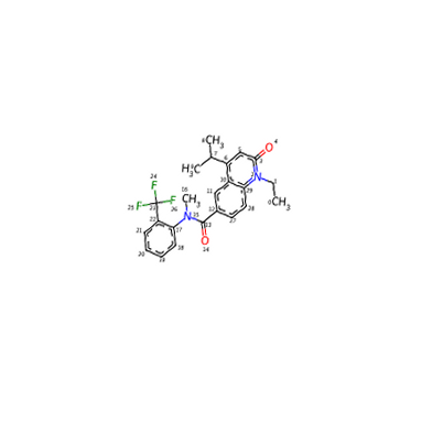 CCn1c(=O)cc(C(C)C)c2cc(C(=O)N(C)c3ccccc3C(F)(F)F)ccc21